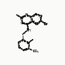 Cc1nc(NCc2cccc(C(F)(F)F)c2C)c2cc(Br)ncc2n1